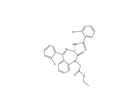 CCOC(=O)CN1C(=O)[C@@H](NC(=O)c2ccccc2Cl)N=C(c2ccccc2F)c2ccccc21